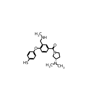 CNCc1cc(C(=O)N2CC[C@H](N(C)C)C2)ccc1Oc1ccc(S)cc1